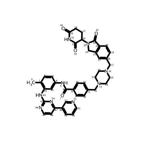 Cc1ccc(NC(=O)c2ccc(CN3CCN(Cc4ccc5c(c4)CN(C4CCC(=O)NC4=O)C5=O)CC3)cc2)cc1Nc1nccc(-c2cccnc2)n1